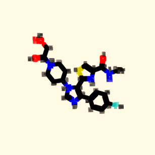 CC(C)NC(=O)c1csc(-c2c(-c3ccc(F)cc3)ncn2C2CCN(C(=O)CO)CC2)n1